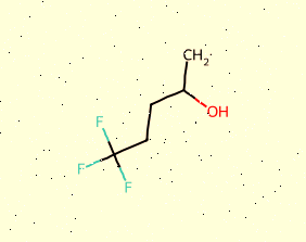 [CH2]C(O)CCC(F)(F)F